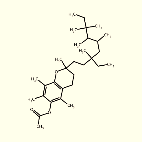 CCC(C)(CCC1(C)CCc2c(C)c(OC(C)=O)c(C)c(C)c2O1)CC(C)C(C)C(C)(C)CC